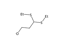 CCSC(CC[O])SCC